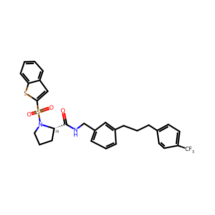 O=C(NCc1cccc(CCCc2ccc(C(F)(F)F)cc2)c1)[C@@H]1CCCN1S(=O)(=O)c1cc2ccccc2s1